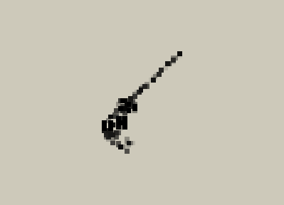 CCCCCCCCC=CCCCCCCCC(=O)OC1CC[C@@]2(C)C(=CC[C@H]3[C@@H]4CC[C@H]([C@H](C)C=C[C@H](C)C(C)C)[C@@]4(C)CC[C@@H]32)C1